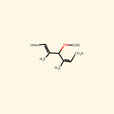 CCCCCC/C=C(\C)C(OC=O)/C(C)=C\C(=O)O